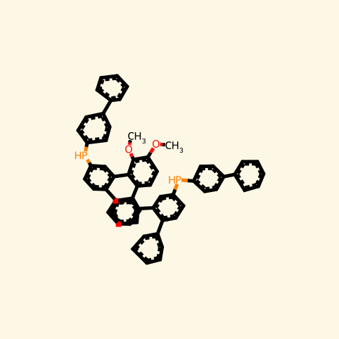 COc1ccc(-c2ccccc2-c2cc(Pc3ccc(-c4ccccc4)cc3)ccc2-c2ccccc2)c(-c2cc(Pc3ccc(-c4ccccc4)cc3)ccc2-c2ccccc2)c1OC